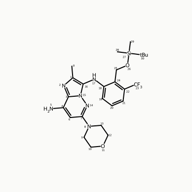 Cc1nc2c(N)cc(N3CCOCC3)nn2c1Nc1cccc(C(F)(F)F)c1CO[Si](C)(C)C(C)(C)C